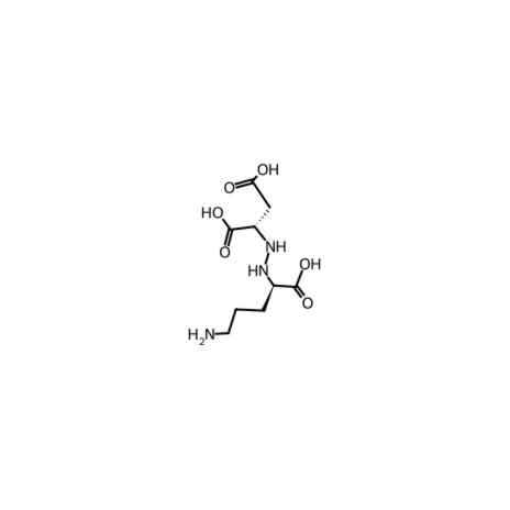 NCCC[C@@H](NN[C@@H](CC(=O)O)C(=O)O)C(=O)O